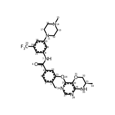 Cc1ccc(C(=O)Nc2cc(N3CCN(C)CC3)cc(C(F)(F)F)c2)cc1Oc1ncnc2c1OC[C@@H](C)N2